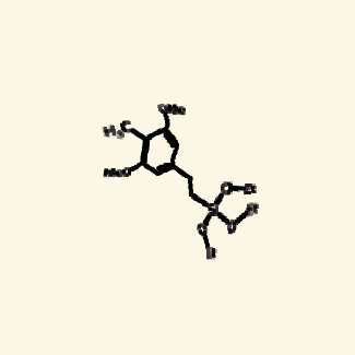 CCO[Si](CCc1cc(OC)c(C)c(OC)c1)(OCC)OCC